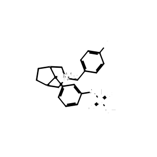 COC1(c2cccc(NS(C)(=O)=O)c2)C2CCC1CN(Cc1ccc(Cl)cc1)C2